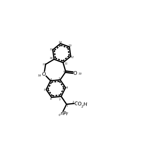 CCCC(C(=O)O)c1ccc2c(c1)C(=O)c1ccccc1CO2